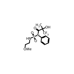 COCCNS(=O)(=O)N(C(=O)C(C)(O)C(F)(F)F)c1ccccc1